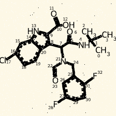 CC(C)(C)NC(=O)C(c1c(C(=O)O)[nH]c2cc(Cl)ccc12)N(C=O)Cc1cc(F)ccc1F